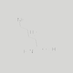 NCCCC[C@@H](N)C(=O)O.O